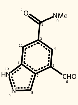 CNC(=O)c1cc(C=O)c2cn[nH]c2c1